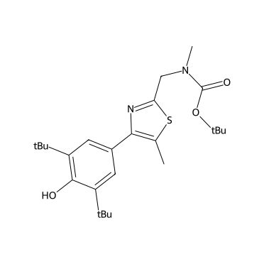 Cc1sc(CN(C)C(=O)OC(C)(C)C)nc1-c1cc(C(C)(C)C)c(O)c(C(C)(C)C)c1